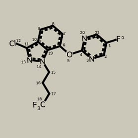 Fc1cnc(Oc2cccc3c(Cl)nn(CCCC(F)(F)F)c23)nc1